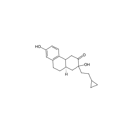 O=C1CC2c3ccc(O)cc3CC[C@@H]2CC1(O)CCC1CC1